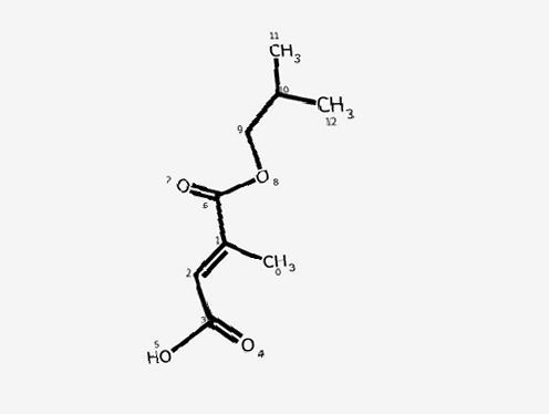 C/C(=C\C(=O)O)C(=O)OCC(C)C